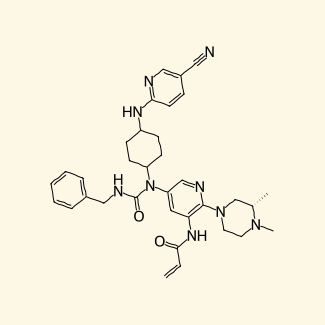 C=CC(=O)Nc1cc(N(C(=O)NCc2ccccc2)C2CCC(Nc3ccc(C#N)cn3)CC2)cnc1N1CCN(C)[C@@H](C)C1